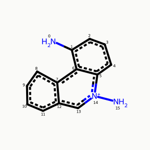 Nc1cccc2c1c1ccccc1c[n+]2N